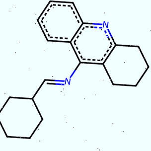 C(=Nc1c2c(nc3ccccc13)CCCC2)C1CCCCC1